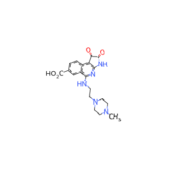 CN1CCN(CCNc2nc3c(c4ccc(C(=O)O)cc24)C(=O)C(=O)N3)CC1